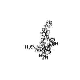 C=C[C@@H]1CC1(NC(=O)[C@@H]1CC(Oc2cc(-c3coc(NC(C)C)n3)nc3c(Cl)c(OCCN4CCOCC4)ccc23)CN1C(=O)[C@@H](NC(=O)O[C@@H]1C[C@@H]2C[C@@H]2C1)C(C)(C)C)C(=O)O